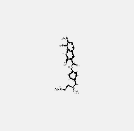 CCCc1c(OC)ccc2cc(C(=O)Nc3ccc(CN(C)CCOC)cc3)c(=O)oc12